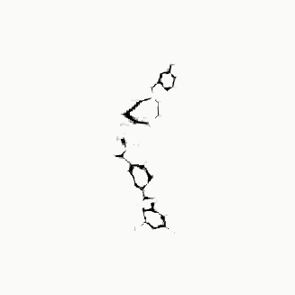 [C-]#[N+]c1cc(C(C)C)c2oc(-c3ccc(C(=O)NC[C@@H]4CCN(Cc5cccc(C(F)(F)F)c5)CCO4)cc3)nc2c1